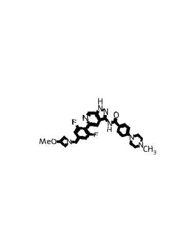 COC1CN(Cc2cc(F)c(-c3cc4c(NC(=O)c5ccc(N6CCN(C)CC6)cc5)n[nH]c4cn3)c(F)c2)C1